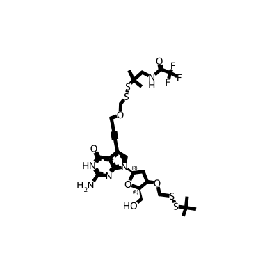 CC(C)(C)SSCOC1C[C@H](n2cc(C#CCOCSSC(C)(C)CNC(=O)C(F)(F)F)c3c(=O)[nH]c(N)nc32)O[C@@H]1CO